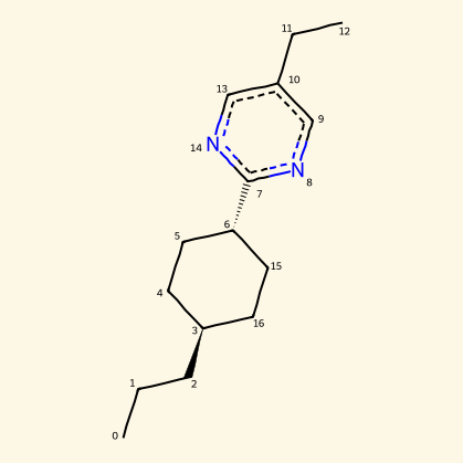 CCC[C@H]1CC[C@H](c2ncc(CC)cn2)CC1